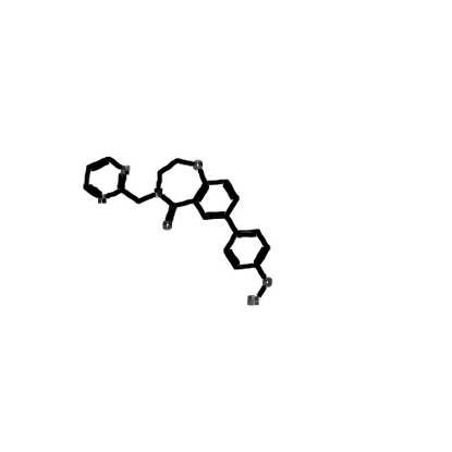 CCOc1ccc(-c2ccc3c(c2)C(=O)N(Cc2ncccn2)CCO3)cc1